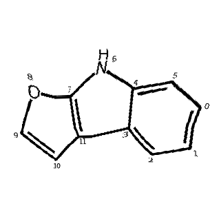 c1ccc2c(c1)[nH]c1occc12